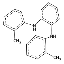 Cc1ccccc1Nc1ccccc1Nc1ccccc1C